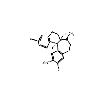 COc1cc2c(cc1Cl)CCN(C)[C@H]1CCc3cc(Br)ccc3[C@H]21